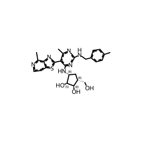 Cc1ccc(CNc2nc(C)c(-c3nc4c(C)nccc4s3)c(N[C@@H]3C[C@H](CO)[C@@H](O)[C@H]3O)n2)cc1